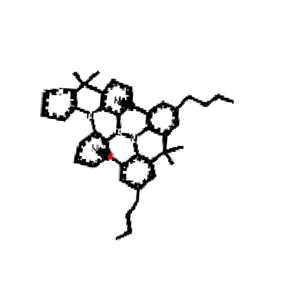 CCCCc1cc(C#N)c2c(c1)C(C)(C)c1cc(CCCC)cc(C#N)c1N2B1c2ccccc2N2c3ccccc3C(C)(C)c3cccc1c32